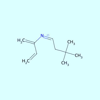 C=CC(=C)/N=C\CC(C)(C)C